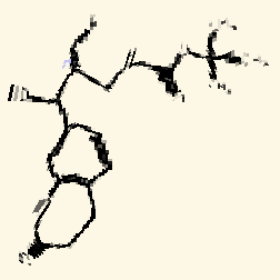 CC(C)(C)OC(=O)NC/C(=C\F)C(O)c1ccc2c(c1)NC(=O)CC2